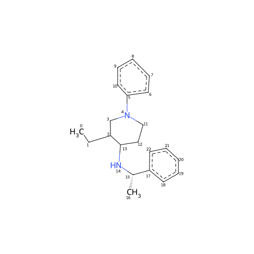 CCC1CN(c2ccccc2)CCC1N[C@@H](C)c1ccccc1